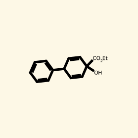 CCOC(=O)C1(O)C=CC(c2ccccc2)C=C1